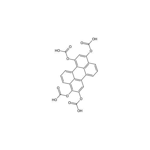 O=C(O)Oc1cc2c3cccc4c(OC(=O)O)cc(OC(=O)O)c(c5cccc(c1OC(=O)O)c25)c43